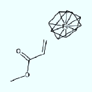 C=CC(=O)OC.[CH]12[CH]3[CH]4[CH]5[CH]1[Fe]23451678[CH]2[CH]1[CH]6[CH]7[CH]28